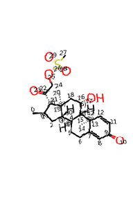 C[C@@H]1C[C@H]2[C@@H]3CCC4=CC(=O)C=C[C@]4(C)[C@H]3[C@@H](O)C[C@]2(C)[C@H]1C(=O)COS(C)(=O)=O